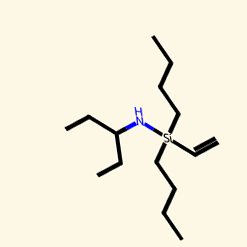 C=C[Si](CCCC)(CCCC)NC(CC)CC